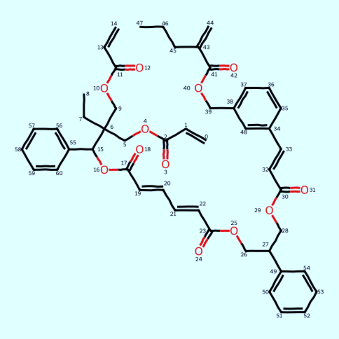 C=CC(=O)OCC(CC)(COC(=O)C=C)C(OC(=O)/C=C/C=C/C(=O)OCC(COC(=O)/C=C/c1cccc(COC(=O)C(=C)CCC)c1)c1ccccc1)c1ccccc1